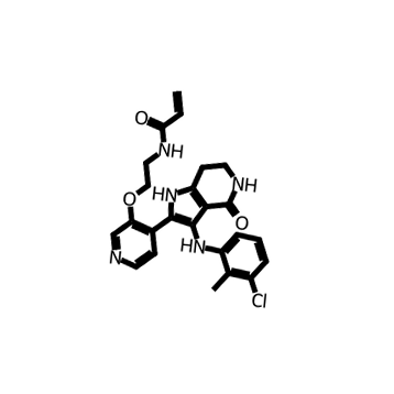 C=CC(=O)NCCOc1cnccc1-c1[nH]c2c(c1Nc1cccc(Cl)c1C)C(=O)NCC2